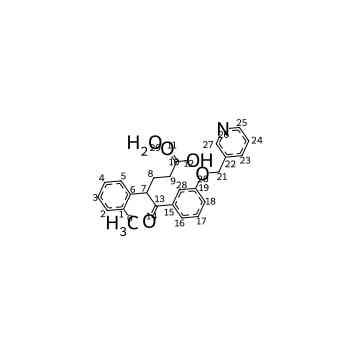 Cc1ccccc1C(CCC(=O)O)C(=O)c1cccc(OCc2cccnc2)c1.O